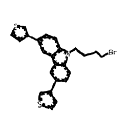 BrCCCCn1c2ccc(-c3ccsc3)cc2c2cc(-c3ccsc3)ccc21